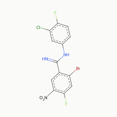 N=C(Nc1ccc(F)c(Cl)c1)c1cc([N+](=O)[O-])c(F)cc1Br